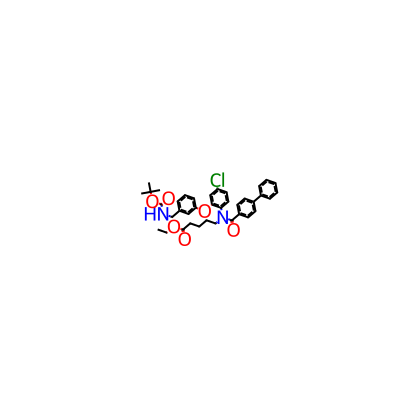 CCOC(=O)CCCCN(C(=O)c1ccc(-c2ccccc2)cc1)c1ccc(Cl)cc1Oc1cccc(CNC(=O)OC(C)(C)C)c1